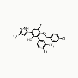 Oc1c(-c2cc(C(F)(F)F)n[nH]2)cc(F)c(OCc2ccc(Cl)cc2)c1-c1ccc(Cl)c(C(F)(F)F)c1